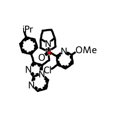 COc1ccc(Cl)c(C(=O)N2C3CCC2CN(Cc2c(-c4ccc(C(C)C)cc4)nc4ncccn24)C3)n1